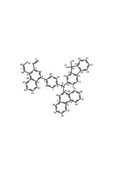 C=Cc1cc(-c2ccc(N(c3ccc4c(c3)C(C)(C)c3ccccc3-4)c3cc4ccccc4c4ccccc34)cc2)c2ccccc2c1/C=C\C